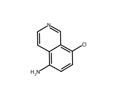 Nc1ccc(Cl)c2cnccc12